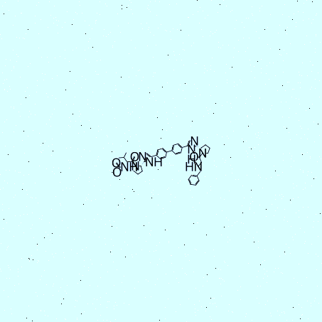 COC(=O)NC(C(=O)N1CCC[C@H]1c1ncc(-c2ccc(-c3ccc(-c4cnc([C@@H]5CCCN5C(=O)CNCc5ccccc5)[nH]4)cc3)cc2)[nH]1)C(C)C